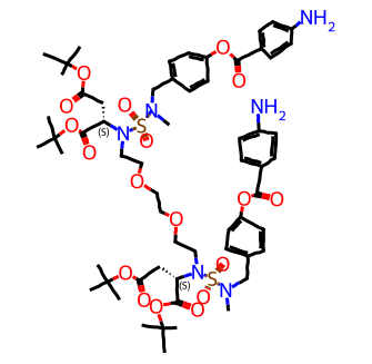 CN(Cc1ccc(OC(=O)c2ccc(N)cc2)cc1)S(=O)(=O)N(CCOCCOCCN([C@@H](CC(=O)OC(C)(C)C)C(=O)OC(C)(C)C)S(=O)(=O)N(C)Cc1ccc(OC(=O)c2ccc(N)cc2)cc1)[C@@H](CC(=O)OC(C)(C)C)C(=O)OC(C)(C)C